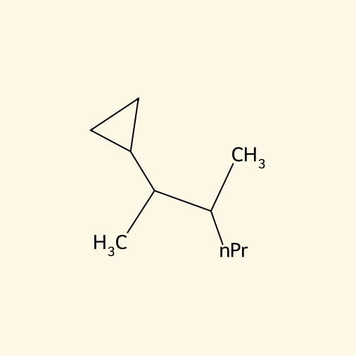 CCCC(C)C(C)C1CC1